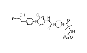 CCC(O)Cc1ccc(-n2ccc(NC(=O)N3CCN(C(=O)C(C)(C)NC(=O)OC(C)(C)C)CC3)nc2=O)cc1